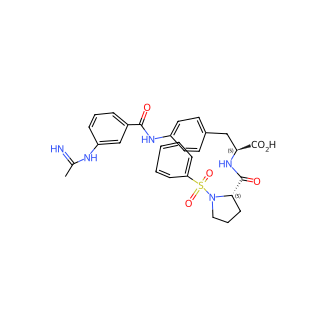 CC(=N)Nc1cccc(C(=O)Nc2ccc(C[C@H](NC(=O)[C@@H]3CCCN3S(=O)(=O)c3ccccc3)C(=O)O)cc2)c1